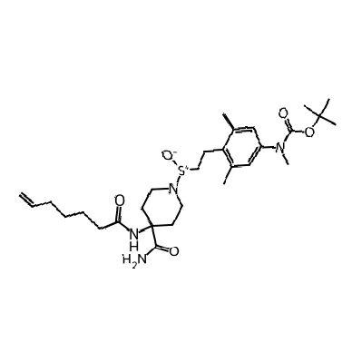 C=CCCCCC(=O)NC1(C(N)=O)CCN([S+]([O-])CCc2c(C)cc(N(C)C(=O)OC(C)(C)C)cc2C)CC1